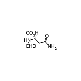 NC(=O)C[C@H](NC=O)C(=O)O